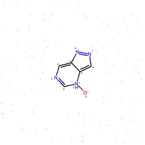 [O-][NH+]1C=NC=C2N=NC=C21